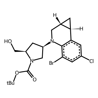 CC(C)(C)OC(=O)N1C[C@H](N2C[C@@H]3C[C@H]3c3cc(Cl)cc(Br)c32)C[C@@H]1CO